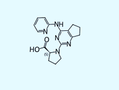 O=C(O)[C@@H]1CCCN1c1nc2c(c(Nc3ccccn3)n1)CCC2